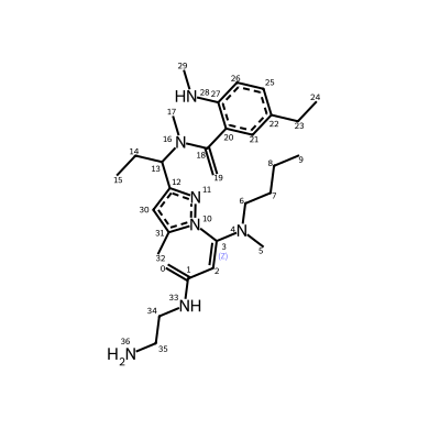 C=C(/C=C(/N(C)CCCC)n1nc(C(CC)N(C)C(=C)c2cc(CC)ccc2NC)cc1C)NCCN